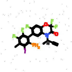 C#C[C@@H](C)N1C(=O)C(F)(F)Oc2cc(F)c(-c3c(F)c(F)c(C)c(I)c3P)cc21